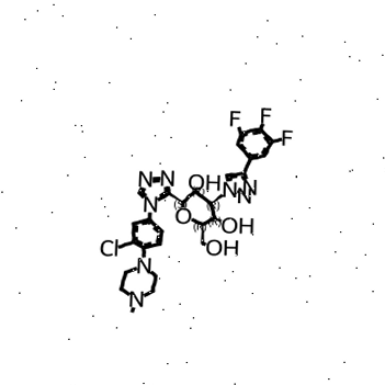 CN1CCN(c2ccc(-n3cnnc3[C@@H]3O[C@H](CO)[C@H](O)[C@H](n4cc(-c5cc(F)c(F)c(F)c5)nn4)[C@H]3O)cc2Cl)CC1